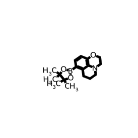 CC1(C)OB(c2ccc3c4c2CCCN4CCO3)OC1(C)C